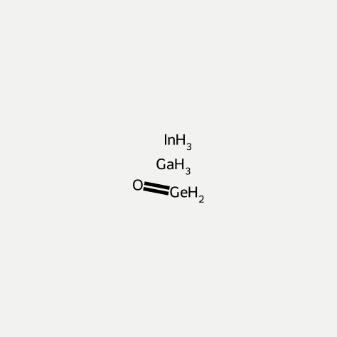 [GaH3].[InH3].[O]=[GeH2]